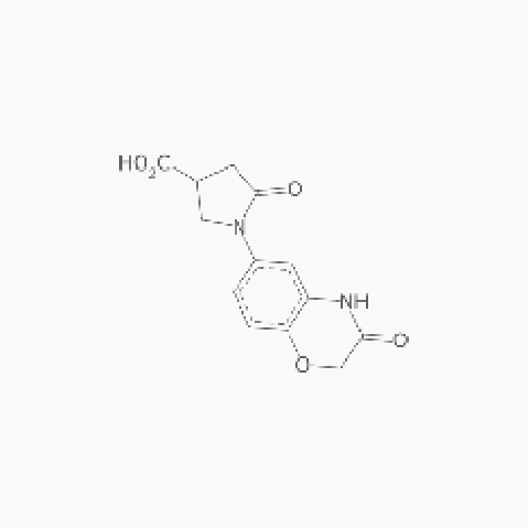 O=C1COc2ccc(N3CC(C(=O)O)CC3=O)cc2N1